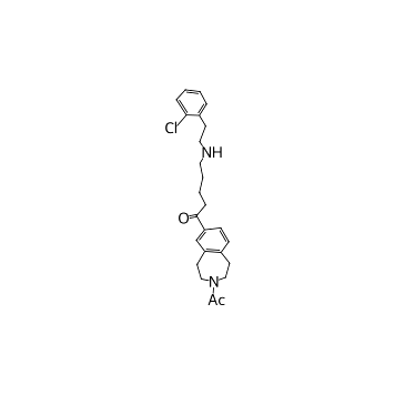 CC(=O)N1CCc2ccc(C(=O)CCCCNCCc3ccccc3Cl)cc2CC1